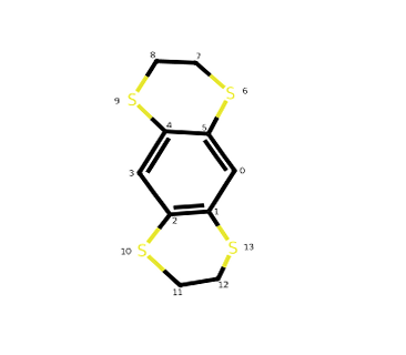 c1c2c(cc3c1SCCS3)SCCS2